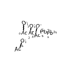 CC(=O)[O-].CC(=O)[O-].CC(=O)[O-].CC(=O)[O-].[Pb+2].[Pb+2]